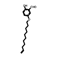 C=CCCCCCCCCCOc1ccc(O)c(C=O)c1